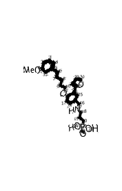 COc1cccc(CCCCCOc2ccc(CNCCCP(=O)(O)O)cc2-c2ccco2)c1